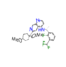 COC1CCC(OC)(c2cc3c(N[C@H](C)c4cccc(C(F)F)c4F)ccnc3cn2)CC1